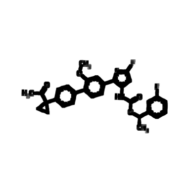 COc1cc(-c2sc(F)cc2NC(=O)O[C@H](C)c2cccc(F)c2)ccc1-c1ccc(C2(C(C)=O)CC2)cc1